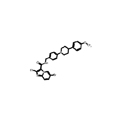 CCc1nc2ccc(Br)cn2c1C(=O)NCc1ccc(N2CCC(c3ccc(OC(F)(F)F)cc3)CC2)cc1